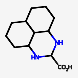 O=C(O)C1NC2CCCC3CCCC(N1)C32